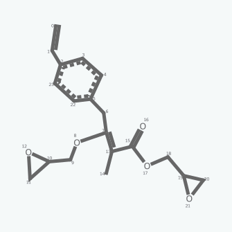 C=Cc1ccc(CC(OCC2CO2)=C(C)C(=O)OCC2CO2)cc1